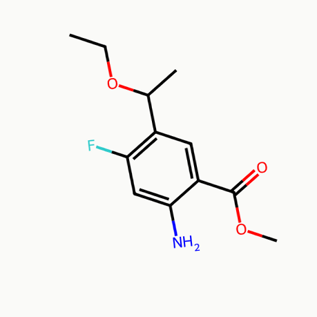 CCOC(C)c1cc(C(=O)OC)c(N)cc1F